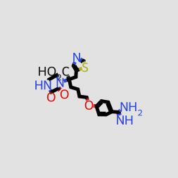 N=C(N)c1ccc(OCCCCC(Cc2cncs2)(C(=O)O)N2CCNC(=O)C2=O)cc1